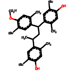 Cc1cc(O)c(C(C)(C)C)cc1C(C)CC(c1cc(C(C)(C)C)c(O)cc1C)c1cc(C(C)(C)C)c(OC(=O)O)cc1C